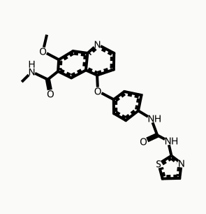 CNC(=O)c1cc2c(Oc3ccc(NC(=O)Nc4nccs4)cc3)ccnc2cc1OC